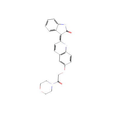 O=C1Nc2ccccc2C1=C1C=Cc2cc(OCC(=O)N3CCOCC3)ccc2N1